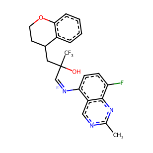 Cc1ncc2c(/N=C\C(O)(CC3CCOc4ccccc43)C(F)(F)F)ccc(F)c2n1